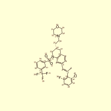 C/C(=C\c1ccc2c(c1)N(S(=O)(=O)c1cccc(C(F)(F)F)c1)C[C@H](CCN1CCOCC1)C2)c1c(F)cccc1Cl